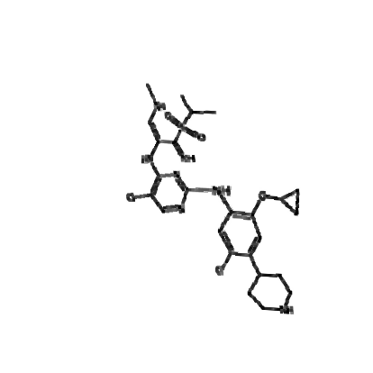 CN/C=C(/Nc1nc(Nc2cc(Cl)c(C3CCNCC3)cc2OC2CC2)ncc1Cl)C(=N)S(=O)(=O)C(C)C